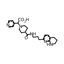 O=C(NCCCc1ccc2c(n1)NCCC2)C1CCN(C(C(=O)O)c2ccncc2)CC1